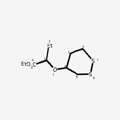 CCOC(=O)C(CC)OC1CCSSC1